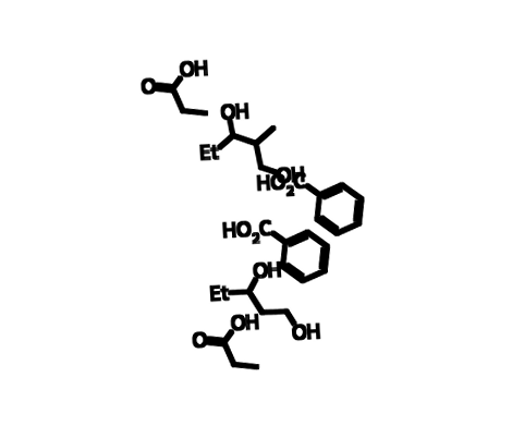 CCC(=O)O.CCC(=O)O.CCC(O)C(C)CO.CCC(O)CCO.O=C(O)c1ccccc1.O=C(O)c1ccccc1